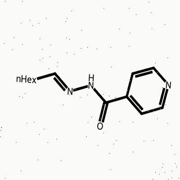 CCCCCCC=NNC(=O)c1ccncc1